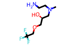 CN(CCN)C[C@H](O)COCC(F)(F)F